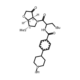 CCCN1CCC(c2ccc(C(=O)NC(CC(C)(C)C)C(=O)N3C[C@H](SC)[C@H]4OCC(=O)[C@H]43)cc2)CC1